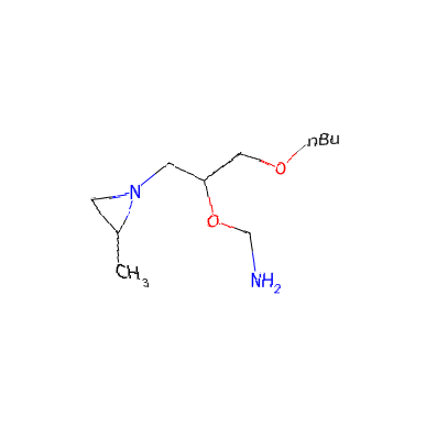 CCCCOCC(CN1CC1C)OCN